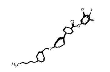 CCCCCC1CCC(COC2CCC(C3CCC(C(=O)Oc4cc(F)c(F)c(F)c4)CC3)CC2)CC1